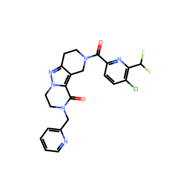 O=C(c1ccc(Cl)c(C(F)F)n1)N1CCc2nn3c(c2C1)C(=O)N(Cc1ccccn1)CC3